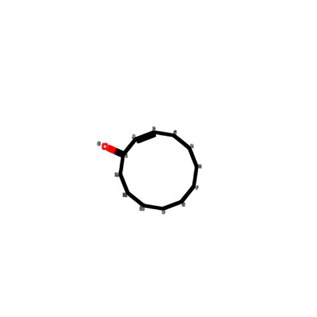 O=C1/C=C\CCCCCCCCC1